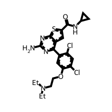 CCN(CC)CCOc1cc(-c2nc(N)nc3sc(C(=O)NC4CC4)cc23)c(Cl)cc1Cl